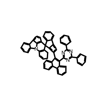 C1=CC2=C(CC1)C1(c3ccccc3-c3ccc(-c4c(-c5nc(-c6ccccc6)nc(-c6ccccc6)n5)c5ccccc5c5ccccc45)cc31)c1cccc3c4ccccc4n2c13